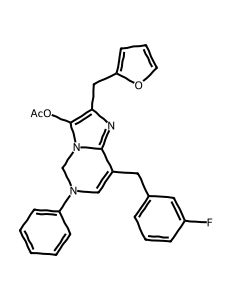 CC(=O)Oc1c(Cc2ccco2)nc2n1CN(c1ccccc1)C=C2Cc1cccc(F)c1